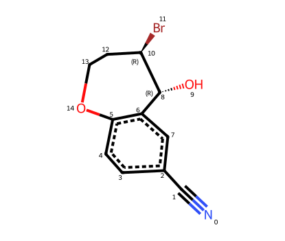 N#Cc1ccc2c(c1)[C@@H](O)[C@H](Br)CCO2